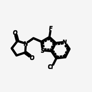 O=C1CCC(=O)N1Cc1sc2c(Cl)ccnc2c1F